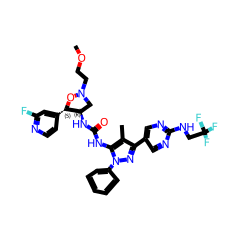 COCCN1C[C@@H](NC(=O)Nc2c(C)c(-c3cnc(NCC(F)(F)F)nc3)nn2-c2ccccc2)[C@H](c2ccnc(F)c2)O1